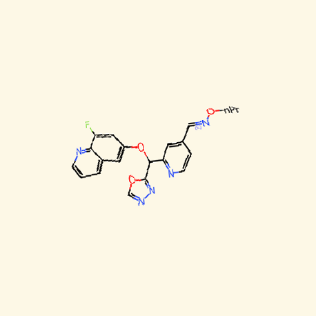 CCCO/N=C/c1ccnc(C(Oc2cc(F)c3ncccc3c2)c2nnco2)c1